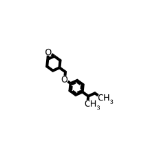 CCC(C)c1ccc(OCC2CCC3OC3C2)cc1